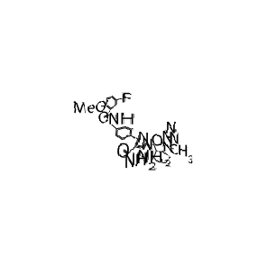 COc1ccc(F)cc1C(=O)NCc1ccc(-c2nn(CC3CCCCC3N(C)C(=O)n3cncn3)c(N)c2C(N)=O)cc1